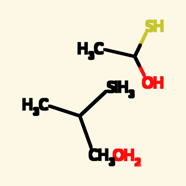 CC(C)[SiH3].CC(O)S.O